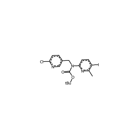 Cc1nc(N(Cc2ccc(Cl)nc2)C(=O)OC(C)(C)C)ccc1I